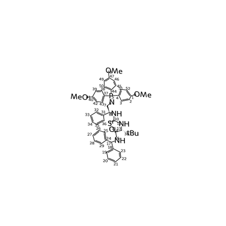 COc1ccc(P(=NC[C@@H](NC(=S)N[C@@H](C(=O)NC(c2ccccc2)c2ccccc2)C(C)(C)C)c2ccccc2)(c2ccc(OC)cc2)c2ccc(OC)cc2)cc1